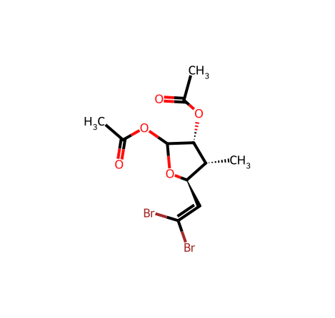 CC(=O)OC1O[C@H](C=C(Br)Br)[C@@H](C)[C@H]1OC(C)=O